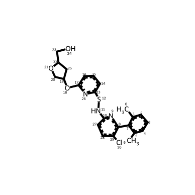 Cc1cccc(C)c1-c1nc(NSc2cccc(OC3COC(CO)C3)n2)ccc1Cl